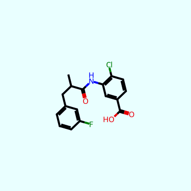 CC(Cc1cccc(F)c1)C(=O)Nc1cc(C(=O)O)ccc1Cl